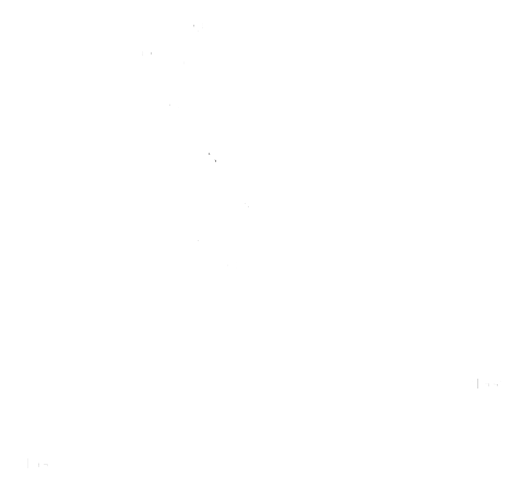 CCCCCCCCCCCCCCCCCC(=O)C(C)(C(=O)CCCCCCCCCCCCCCCCC)N(C)C.COS(=O)(=O)O